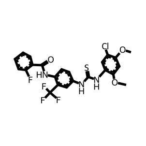 COc1cc(OC)c(NC(=S)Nc2ccc(NC(=O)c3ccccc3F)c(C(F)(F)F)c2)cc1Cl